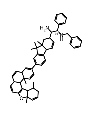 CC1CC=CC2(C)OC3=C(C12)C1C(C=C3)C=CC2C=C(c3ccc4c(c3)C(C)(C)C3(C)CC(C(N)[C@H](NCc5ccccc5)c5ccccc5)C=CC43)C=CC21C